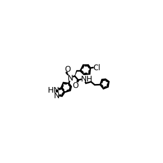 O=CN(c1ccc2cn[nH]c2c1)[C@@H](Cc1ccc(Cl)cc1)C(=O)NCCCc1ccccc1